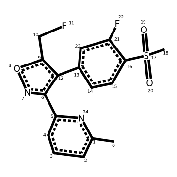 Cc1cccc(-c2noc(CF)c2-c2ccc(S(C)(=O)=O)c(F)c2)n1